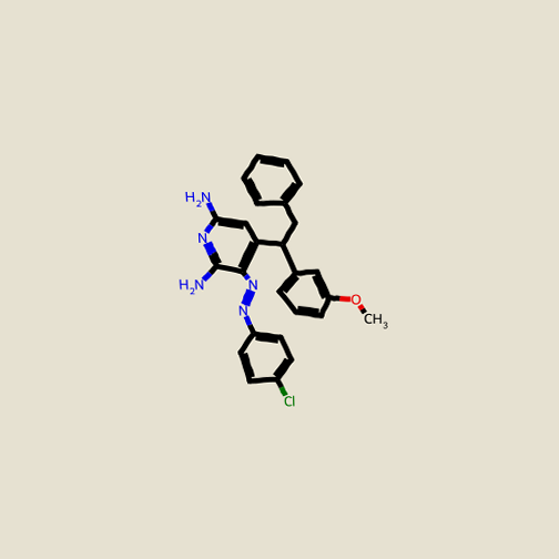 COc1cccc(C(Cc2ccccc2)c2cc(N)nc(N)c2N=Nc2ccc(Cl)cc2)c1